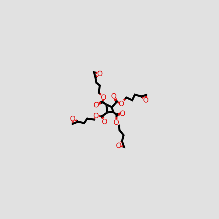 O=C(OCCCC1CO1)C1C(C(=O)OCCCC2CO2)C(C(=O)OCCCC2CO2)C1C(=O)OCCCC1CO1